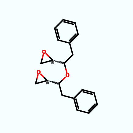 c1ccc(CC(OC(Cc2ccccc2)[C@@H]2CO2)[C@@H]2CO2)cc1